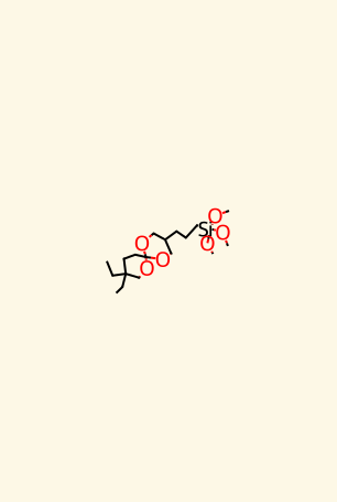 CCC1(CC)CCC2(OCC(CCC[Si](OC)(OC)OC)CO2)OC1